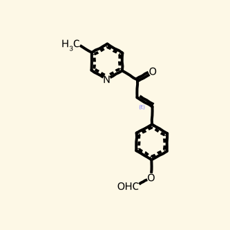 Cc1ccc(C(=O)/C=C/c2ccc(OC=O)cc2)nc1